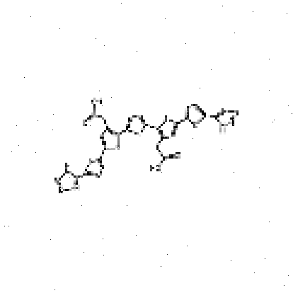 O=C(O)Cc1cc(-c2ccc(-c3nnn[nH]3)s2)sc1-c1ccc(-c2sc(-c3ccc(-c4nnn[nH]4)s3)cc2CC(=O)O)s1